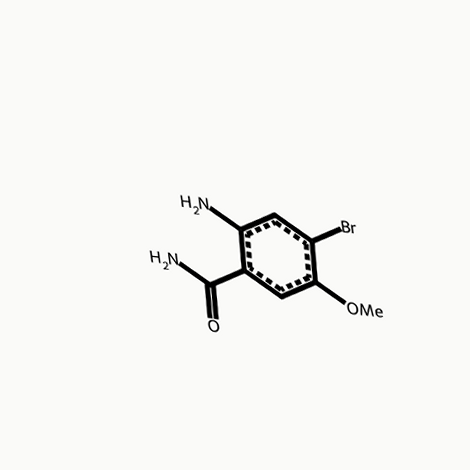 COc1cc(C(N)=O)c(N)cc1Br